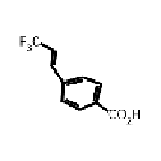 O=C(O)c1ccc(C=CC(F)(F)F)cc1